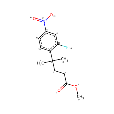 COC(=O)CCC(C)(C)c1ccc([N+](=O)[O-])cc1F